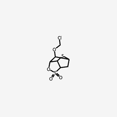 O=S1(=O)OC2C(OCCl)C3CC1C2S3